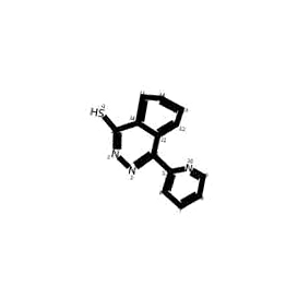 Sc1nnc(-c2ccccn2)c2ccccc12